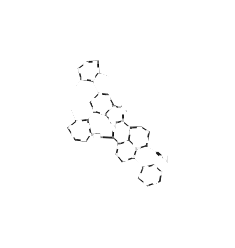 Cc1cccc(C)c1-c1cc(-c2c(C)cccc2C)c2c(c1)nc1c3ccc(C#N)c4c(-c5ccccc5)ccc(c(=O)n12)c43